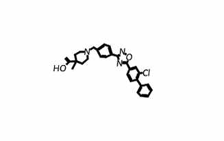 C=C(O)C1(C)CCN(Cc2ccc(-c3noc(-c4ccc(-c5ccccc5)c(Cl)c4)n3)cc2)CC1